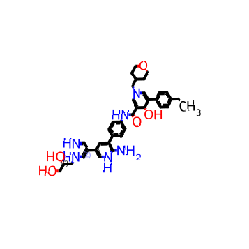 CCc1ccc(C2=CN(CC3CCOCC3)C=C(C(=O)Nc3ccc(C4=CC(/C(C=N)=C/NC[C@H](O)CO)=CNC4N)cc3)C2O)cc1